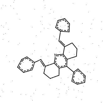 C(=C1CCCc2c1nc1c(c2-c2ccccc2)CCCC1=Cc1ccccc1)c1ccccc1